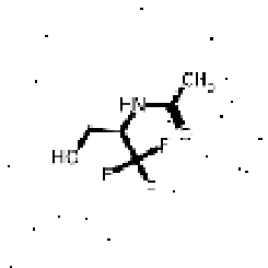 CC(=O)N[C@H](CO)C(F)(F)F